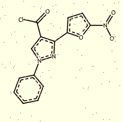 O=C(Cl)c1cn(-c2ccccc2)nc1-c1ccc([N+](=O)[O-])o1